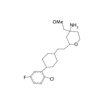 COCC1(N)CCOC(CCC2CCC(c3cc(F)ccc3Cl)CC2)C1